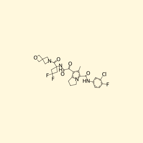 Cc1c(C(=O)C(=O)NC2(C(=O)N3CC4(COC4)C3)CC(F)(F)C2)c2n(c1C(=O)Nc1ccc(F)c(Cl)c1)CCC2